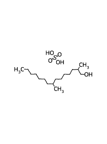 CCCCCCCC(C)CCCCCC(C)CO.O=S(=O)(O)O